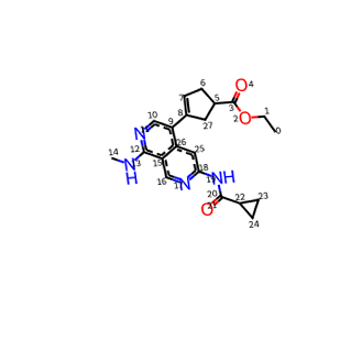 CCOC(=O)C1CC=C(c2cnc(NC)c3cnc(NC(=O)C4CC4)cc23)C1